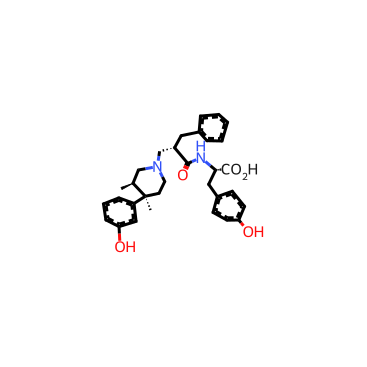 C[C@H]1CN(C[C@H](Cc2ccccc2)C(=O)N[C@@H](Cc2ccc(O)cc2)C(=O)O)CC[C@@]1(C)c1cccc(O)c1